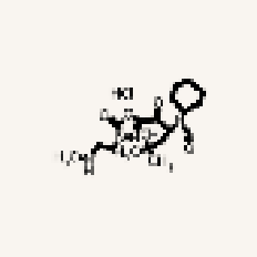 CNCCn1nc(C(=O)C(CC(C)(C)C)N(C=O)C2CCCCC2)oc1=O.Cl